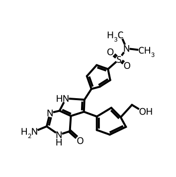 CN(C)S(=O)(=O)c1ccc(-c2[nH]c3nc(N)[nH]c(=O)c3c2-c2cccc(CO)c2)cc1